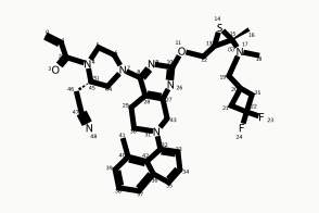 C=CC(=O)N1CCN(c2nc(OCC3S[C@]3(C)N(C)CC3CC(F)(F)C3)nc3c2CCN(c2cccc4cccc(C)c24)C3)C[C@@H]1CC#N